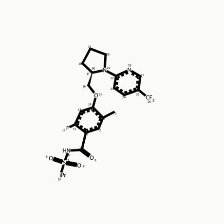 Cc1cc(C(=O)NS(=O)(=O)C(C)C)c(F)cc1OC[C@H]1CCCN1c1ccc(C(F)(F)F)cn1